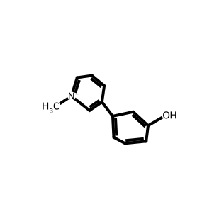 C[n+]1cccc(-c2cccc(O)c2)c1